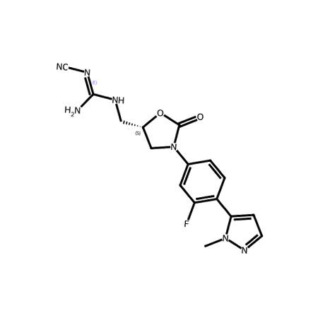 Cn1nccc1-c1ccc(N2C[C@H](CN/C(N)=N/C#N)OC2=O)cc1F